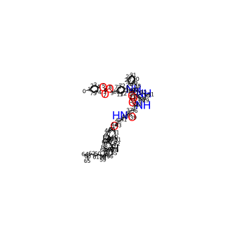 Cc1ccc(OC(=O)OCc2ccc(NC(=O)[C@H](Cc3ccccc3)NC(=O)[C@H](CC(C)C)NC(=O)CCC(=O)NCCCO[C@H]3CC[C@@]4(C)C(=CCC5[C@@H]6CC[C@H]([C@H](C)CCCC(C)C)[C@@]6(C)CC[C@@H]54)C3)cc2)cc1